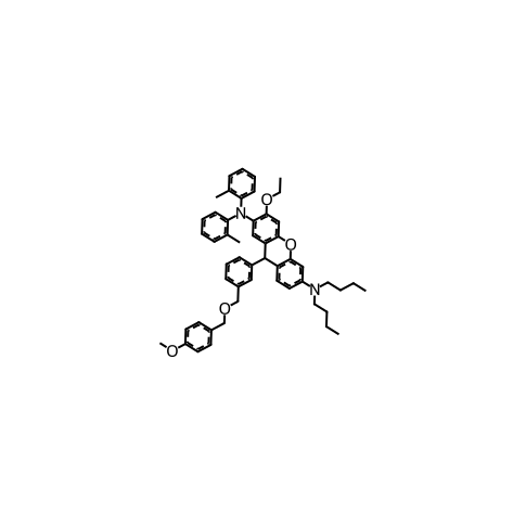 CCCCN(CCCC)c1ccc2c(c1)Oc1cc(OCC)c(N(c3ccccc3C)c3ccccc3C)cc1C2c1cccc(COCc2ccc(OC)cc2)c1